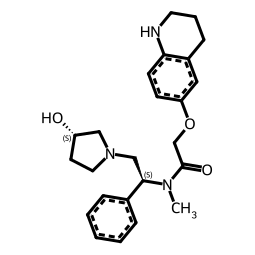 CN(C(=O)COc1ccc2c(c1)CCCN2)[C@H](CN1CC[C@H](O)C1)c1ccccc1